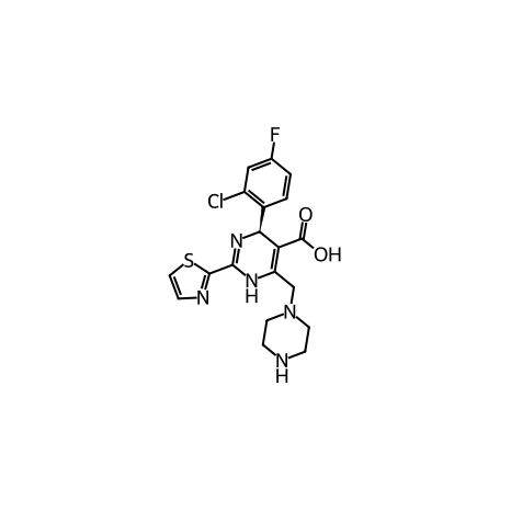 O=C(O)C1=C(CN2CCNCC2)NC(c2nccs2)=N[C@H]1c1ccc(F)cc1Cl